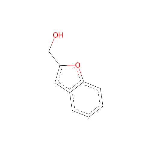 OCc1cc2c[c]ccc2o1